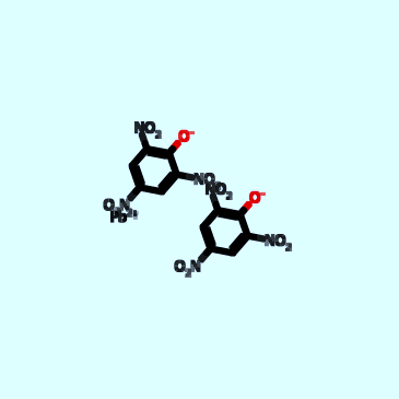 O=[N+]([O-])c1cc([N+](=O)[O-])c([O-])c([N+](=O)[O-])c1.O=[N+]([O-])c1cc([N+](=O)[O-])c([O-])c([N+](=O)[O-])c1.[Pb+2]